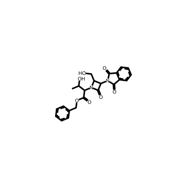 CC(O)C(C(=O)OCc1ccccc1)N1C(=O)C(N2C(=O)c3ccccc3C2=O)C1CO